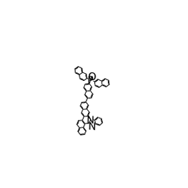 O=P(c1ccc2ccccc2c1)(c1ccc2ccccc2c1)c1ccc2cc(-c3ccc4cc5c6ccc7ccccc7c6c6nc7ccccc7n6c5cc4c3)ccc2c1